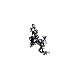 C[C@H](NC(=O)[C@@H]1C[C@@H](F)CN1C(=O)CNC(=O)c1ccc2cc(F)ccc2n1)c1cc(-c2cccc(O)c2)ccc1/C=C/C1CC1